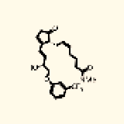 CNC(=O)CCC/C=C\C[C@H]1C(=O)CC=C1/C=C/[C@@H](O)COc1cccc(C(F)(F)F)c1